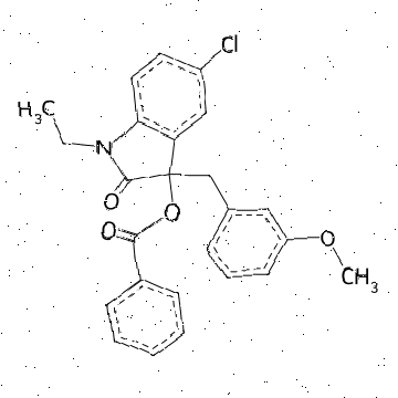 CCN1C(=O)C(Cc2cccc(OC)c2)(OC(=O)c2ccccc2)c2cc(Cl)ccc21